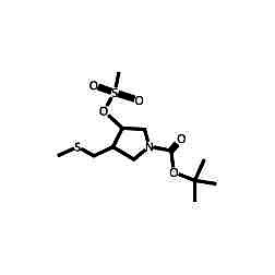 CSCC1CN(C(=O)OC(C)(C)C)CC1OS(C)(=O)=O